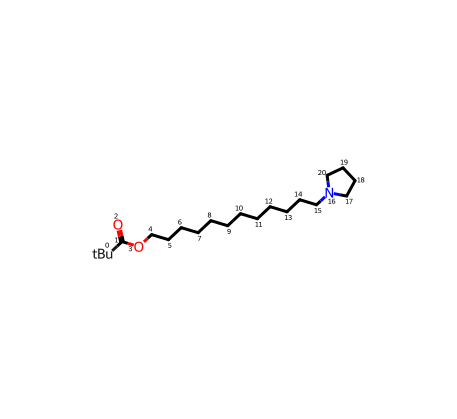 CC(C)(C)C(=O)OCCCCCCCCCCCCN1CCCC1